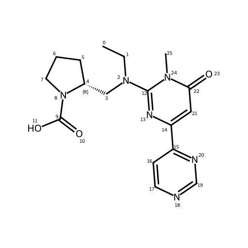 CCN(C[C@H]1CCCN1C(=O)O)c1nc(-c2ccncn2)cc(=O)n1C